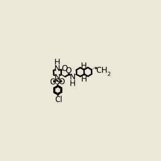 C=C[C@@H]1CC[C@@H]2C[C@H](NC(=O)C[C@@H]3C(=O)NCCN3S(=O)(=O)c3ccc(Cl)cc3)CC[C@@H]2C1